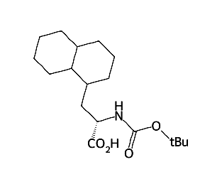 CC(C)(C)OC(=O)N[C@@H](CC1CCCC2CCCCC21)C(=O)O